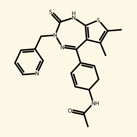 CC(=O)NC1C=CC(C2=NN(Cc3cccnc3)C(=S)Nc3sc(C)c(C)c32)=CC1